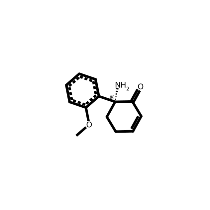 COc1ccccc1[C@]1(N)CCC=CC1=O